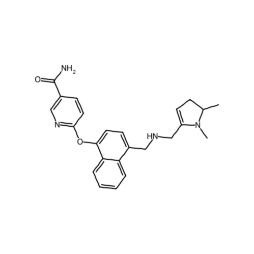 CC1CC=C(CNCc2ccc(Oc3ccc(C(N)=O)cn3)c3ccccc23)N1C